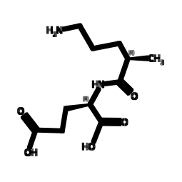 C[C@H](CCCN)C(=O)N[C@H](CCC(=O)O)C(=O)O